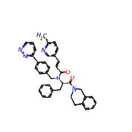 Cc1ccc(C=CC(=O)N(Cc2ccc(-c3cccnn3)cc2)C(Cc2ccccc2)C(=O)N2CCc3ccccc3C2)cn1